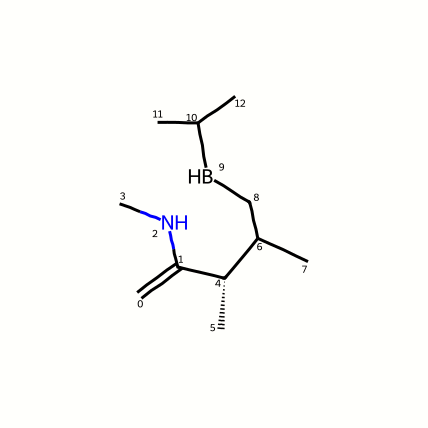 C=C(NC)[C@@H](C)C(C)CBC(C)C